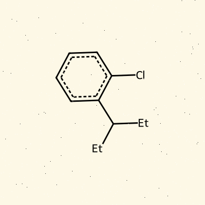 CCC(CC)c1ccccc1Cl